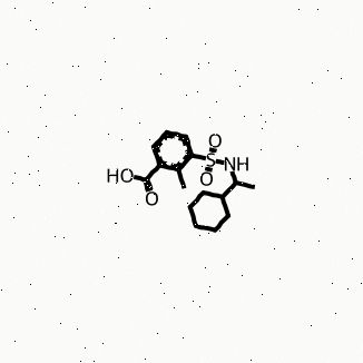 Cc1c(C(=O)O)cccc1S(=O)(=O)NC(C)C1CCCCC1